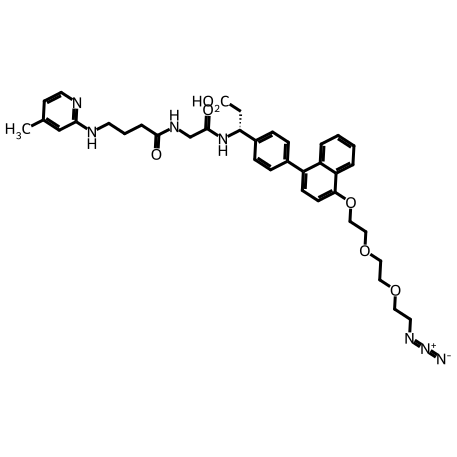 Cc1ccnc(NCCCC(=O)NCC(=O)N[C@H](CC(=O)O)c2ccc(-c3ccc(OCCOCCOCCN=[N+]=[N-])c4ccccc34)cc2)c1